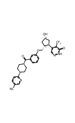 N#Cc1ccc(N2CCN(C(=O)c3cccc(OC[C@@H]4C[C@H](O)CN4c4cn[nH]c(=O)c4C(F)(F)F)c3)CC2)nc1